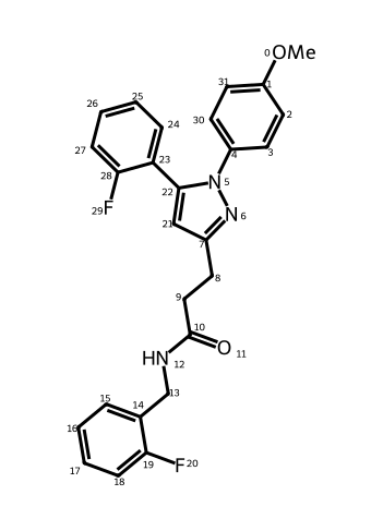 COc1ccc(-n2nc(CCC(=O)NCc3ccccc3F)cc2-c2ccccc2F)cc1